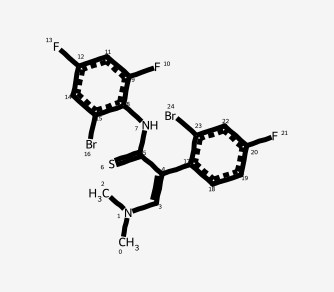 CN(C)/C=C(\C(=S)Nc1c(F)cc(F)cc1Br)c1ccc(F)cc1Br